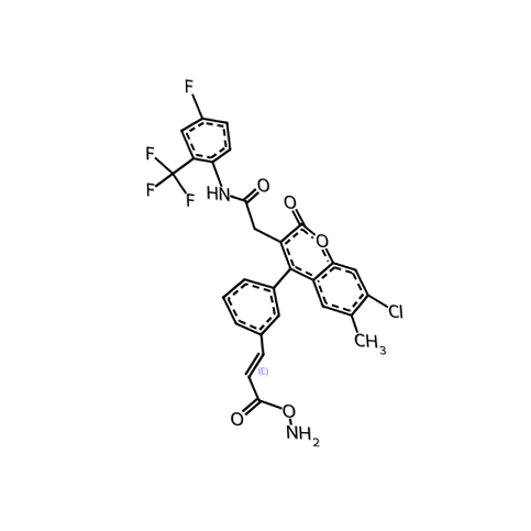 Cc1cc2c(-c3cccc(/C=C/C(=O)ON)c3)c(CC(=O)Nc3ccc(F)cc3C(F)(F)F)c(=O)oc2cc1Cl